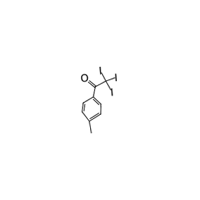 Cc1ccc(C(=O)C(I)(I)I)cc1